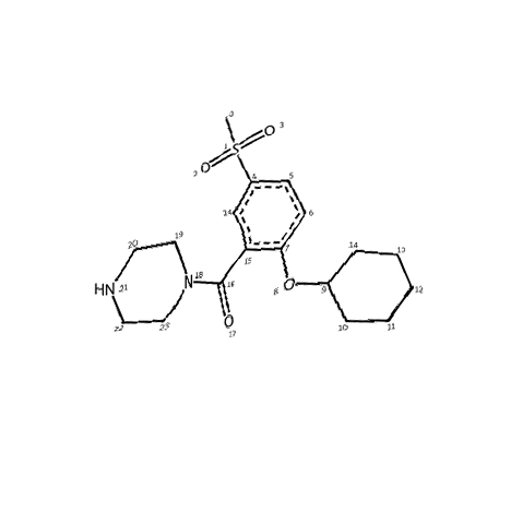 CS(=O)(=O)c1ccc(OC2CCCCC2)c(C(=O)N2CCNCC2)c1